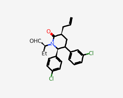 C=CC[C@H]1CC(c2cccc(Cl)c2)[C@@H](c2ccc(Cl)cc2)N([C@H](C=O)CC)C1=O